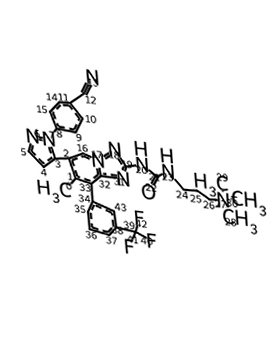 Cc1c(-c2ccnn2-c2ccc(C#N)cc2)cn2nc(NC(=O)NCCC[N+](C)(C)C)nc2c1-c1cccc(C(F)(F)F)c1